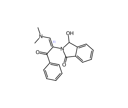 CN(C)/C=C(\C(=O)c1ccccc1)N1C(=O)c2ccccc2C1O